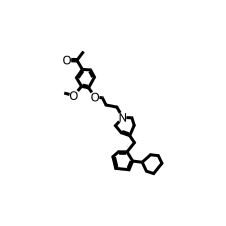 COc1cc(C(C)=O)ccc1OCCCN1CC=C(Cc2ccccc2C2CCCCC2)CC1